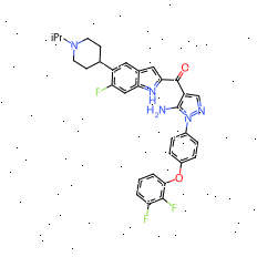 CC(C)N1CCC(c2cc3cc(C(=O)c4cnn(-c5ccc(Oc6cccc(F)c6F)cc5)c4N)[nH]c3cc2F)CC1